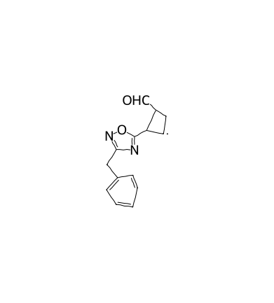 O=CC1C[CH]C1c1nc(Cc2ccccc2)no1